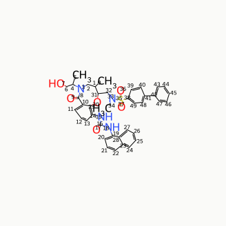 CC1CN(C(C)CO)C(=O)c2cccc(NC(=O)Nc3cccc4ccccc34)c2OC1CN(C)S(=O)(=O)c1ccc(-c2ccccc2)cc1